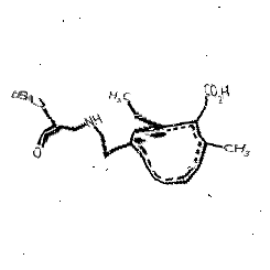 Cc1ccc(CNC(=O)C(C)(C)C)c(C)c1C(=O)O